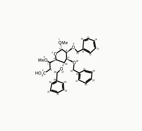 COC(CC(=O)O)[C@H]1O[C@H](OC)[C@@H](OCc2ccccc2)[C@@H](OCc2ccccc2)[C@@H]1OCc1ccccc1